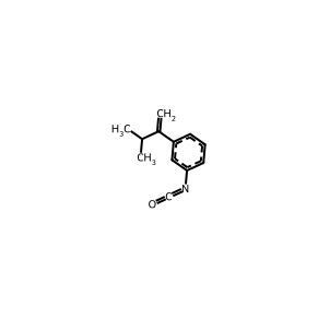 C=C(c1cccc(N=C=O)c1)C(C)C